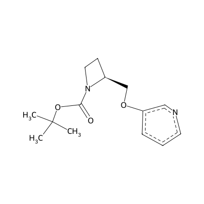 CC(C)(C)OC(=O)N1CC[C@H]1COc1cccnc1